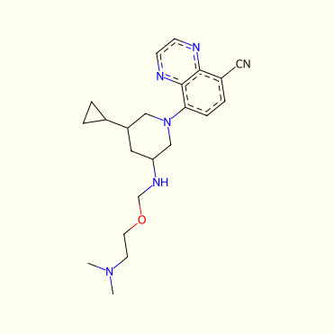 CN(C)CCOCNC1CC(C2CC2)CN(c2ccc(C#N)c3nccnc23)C1